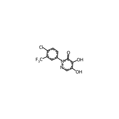 O=c1c(O)c(O)cnn1-c1ccc(Cl)c(C(F)(F)F)c1